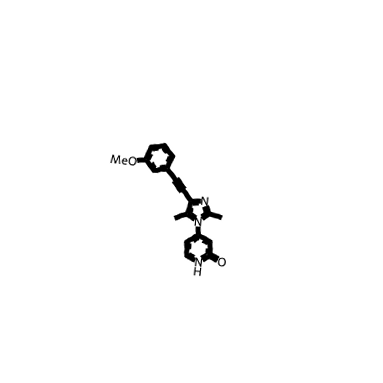 COc1cccc(C#Cc2nc(C)n(-c3cc[nH]c(=O)c3)c2C)c1